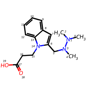 CN(C)N(C)Cc1cc2ccccc2n1CCC(=O)O